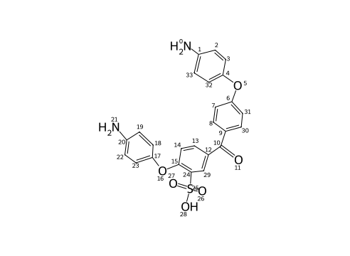 Nc1ccc(Oc2ccc(C(=O)c3ccc(Oc4ccc(N)cc4)c(S(=O)(=O)O)c3)cc2)cc1